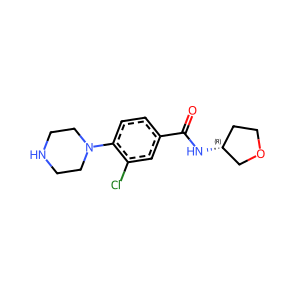 O=C(N[C@@H]1CCOC1)c1ccc(N2CCNCC2)c(Cl)c1